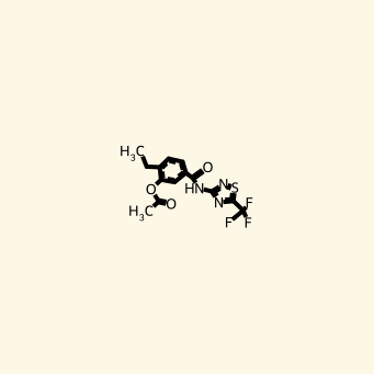 CCc1ccc(C(=O)Nc2nsc(C(F)(F)F)n2)cc1OC(C)=O